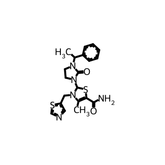 CC1=C(C(N)=O)SC(N2CCN(C(C)c3ccccc3)C2=O)N1Cc1cncs1